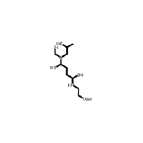 COCCNC(O)CCC(O)N(CC(C)=O)CC(C)O